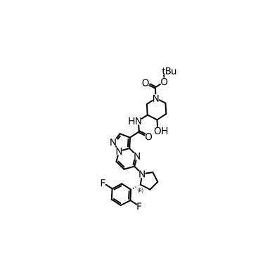 CC(C)(C)OC(=O)N1CCC(O)C(NC(=O)c2cnn3ccc(N4CCC[C@@H]4c4cc(F)ccc4F)nc23)C1